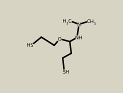 CN(C)NC(CCS)OCCS